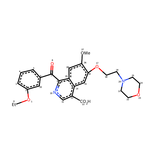 CCOc1cccc(C(=O)c2ncc(C(=O)O)c3cc(OCCN4CCOCC4)c(OC)cc23)c1